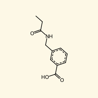 CCC(=O)NCc1cccc(C(=O)O)c1